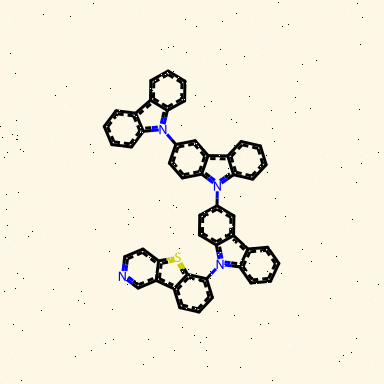 c1cc(-n2c3ccccc3c3cc(-n4c5ccccc5c5cc(-n6c7ccccc7c7ccccc76)ccc54)ccc32)c2sc3ccncc3c2c1